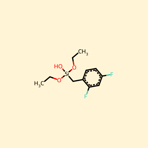 CCO[Si](O)(Cc1ccc(F)cc1F)OCC